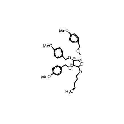 C=CCCCOC1O[C@@H](COCc2ccc(OC)cc2)[C@@H](OCc2ccc(OC)cc2)[C@@H]1OCc1ccc(OC)cc1